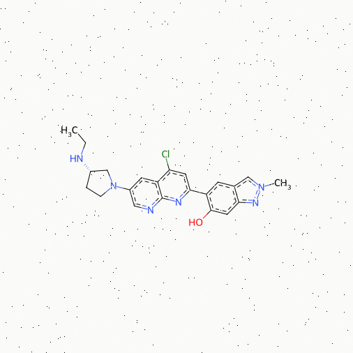 CCN[C@H]1CCN(c2cnc3nc(-c4cc5cn(C)nc5cc4O)cc(Cl)c3c2)C1